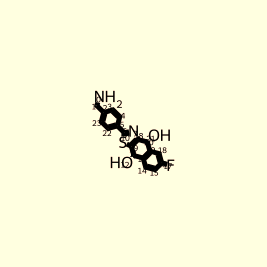 NCc1ccc(-c2nc3c(s2)C(O)c2ccc(F)cc2C3O)cc1